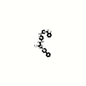 O=C(Nc1ccc(NC2CCN(C(=O)c3ccccc3F)C2)nc1)c1oc(N2CCC(c3ccccc3)CC2)nc1C(F)(F)F